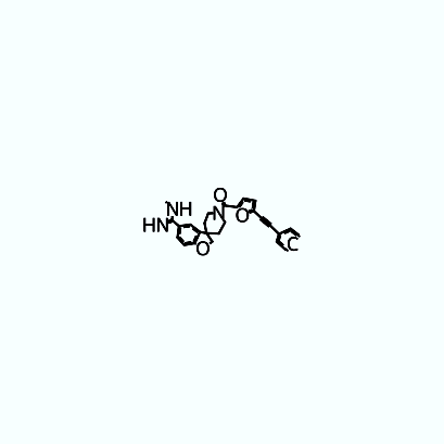 CNC(=N)c1ccc2c(c1)C1(CCN(C(=O)c3ccc(C#Cc4ccccc4)o3)CC1)CO2